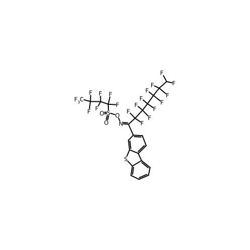 O=S(=O)(ON=C(c1ccc2c(c1)sc1ccccc12)C(F)(F)C(F)(F)C(F)(F)C(F)(F)C(F)(F)C(F)F)C(F)(F)C(F)(F)C(F)(F)C(F)(F)F